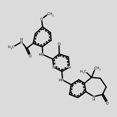 CNC(=O)c1cc(OC)ccc1Nc1nc(Nc2ccc3c(c2)C(C)(C)CCC(=O)N3)ncc1Cl